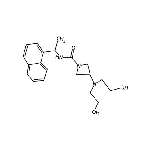 CC(NC(=O)N1CC(N(CCO)CCO)C1)c1cccc2ccccc12